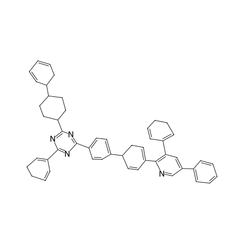 C1=CCC(C2CCC(c3nc(C4=CCCC=C4)nc(-c4ccc(C5C=CC(c6ncc(-c7ccccc7)cc6C6=CCCC=C6)=CC5)cc4)n3)CC2)C=C1